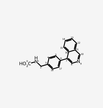 O=C(O)NCc1ccc(-c2cncc3ccccc23)cc1